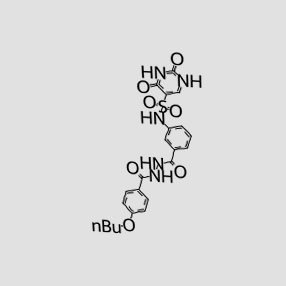 CCCCOc1ccc(C(=O)NNC(=O)c2cccc(NS(=O)(=O)c3c[nH]c(=O)[nH]c3=O)c2)cc1